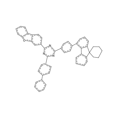 c1ccc(-c2ccc(-c3nc(-c4ccc(-c5cccc6c5-c5ccccc5C65CCCCC5)cc4)nc(-c4ccc5c(c4)oc4ccccc45)n3)cc2)cc1